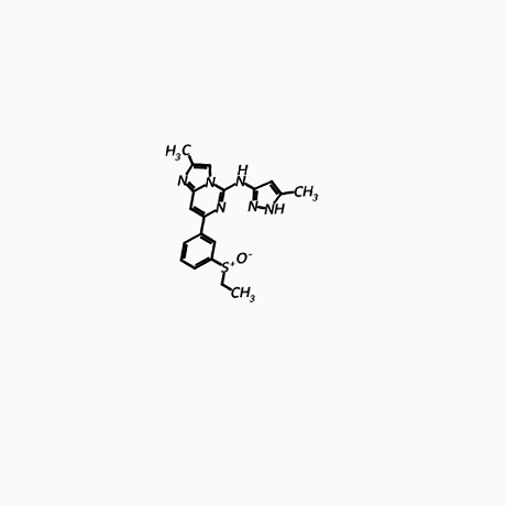 CC[S+]([O-])c1cccc(-c2cc3nc(C)cn3c(Nc3cc(C)[nH]n3)n2)c1